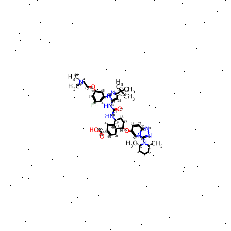 C[C@@H]1CCC[C@H](C)N1c1nnc2ccc(O[C@@H]3CC[C@H](NC(=O)Nc4cc(C(C)(C)C)nn4-c4cc(F)cc(OCCN(C)C)c4)c4ccccc43)cn12.O=CO